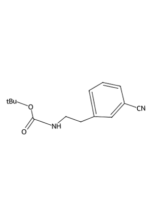 CC(C)(C)OC(=O)NCCc1cccc(C#N)c1